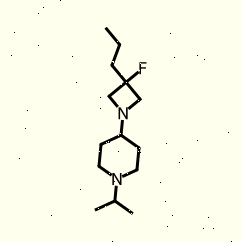 CCCC1(F)CN(C2CCN(C(C)C)CC2)C1